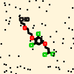 O=CCCOCCCOc1c(Cl)cc(OCC=C(Cl)Cl)cc1Cl